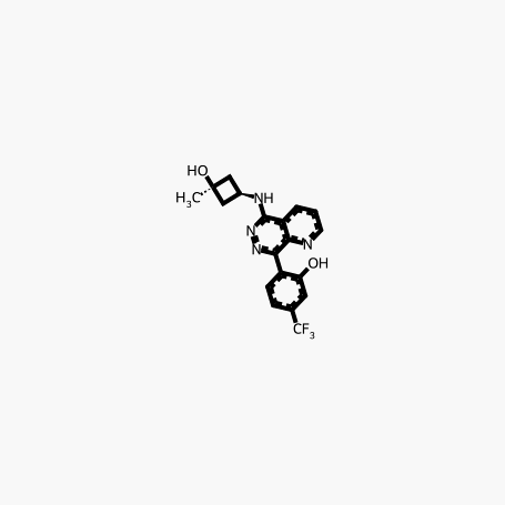 C[C@]1(O)C[C@@H](Nc2nnc(-c3ccc(C(F)(F)F)cc3O)c3ncccc23)C1